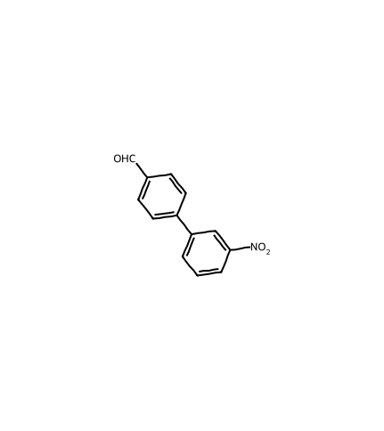 O=Cc1ccc(-c2cccc([N+](=O)[O-])c2)cc1